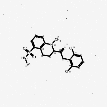 CC(C)NS(=O)(=O)c1cccc2c1CCC(C(=O)Cc1c(Cl)cccc1Cl)N2C